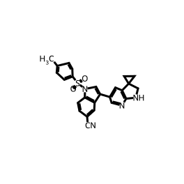 Cc1ccc(S(=O)(=O)n2cc(-c3cnc4c(c3)C3(CC3)CN4)c3cc(C#N)ccc32)cc1